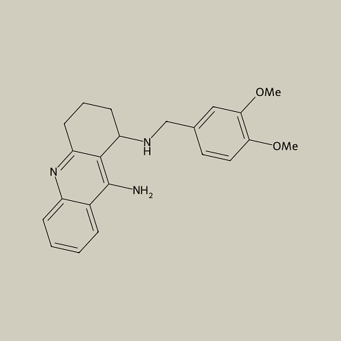 COc1ccc(CNC2CCCc3nc4ccccc4c(N)c32)cc1OC